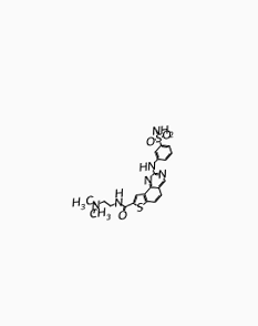 CN(C)CCNC(=O)c1cc2c(ccc3cnc(Nc4cccc(S(N)(=O)=O)c4)nc32)s1